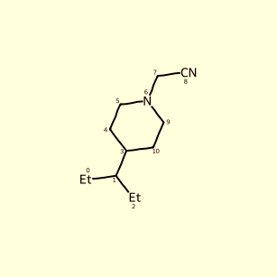 CCC(CC)C1CCN(CC#N)CC1